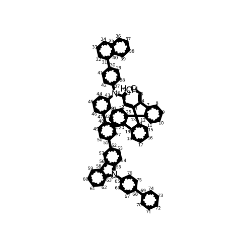 C=C(/C=C1\C(=C/C)c2ccccc2C12c1ccccc1-c1ccccc12)N(c1ccc(-c2cccc3ccccc23)cc1)c1cccc(-c2ccc(-c3ccc4c(c3)c3ccccc3n4-c3ccc(-c4ccccc4)cc3)cc2)c1